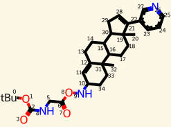 CC(C)(C)OC(=O)NCC(=O)ONC1C=C2CCC3C(CCC4(C)C(c5cccnc5)=CCC34)C2(C)CC1